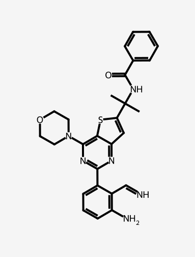 CC(C)(NC(=O)c1ccccc1)c1cc2nc(-c3cccc(N)c3C=N)nc(N3CCOCC3)c2s1